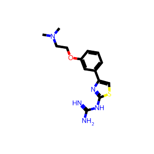 CN(C)CCOc1cccc(-c2csc(NC(=N)N)n2)c1